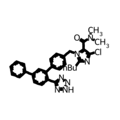 CCCCc1nc(Cl)c(C(=O)N(C)C)n1Cc1ccc(-c2cc(-c3ccccc3)ccc2-c2nn[nH]n2)cc1